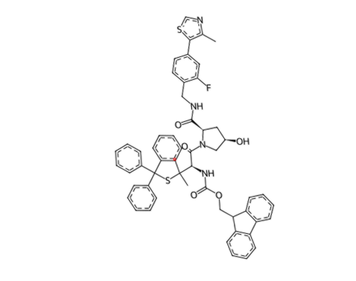 Cc1ncsc1-c1ccc(CNC(=O)[C@H]2C[C@@H](O)CN2C(=O)[C@@H](NC(=O)OCC2c3ccccc3-c3ccccc32)C(C)(C)SC(c2ccccc2)(c2ccccc2)c2ccccc2)c(F)c1